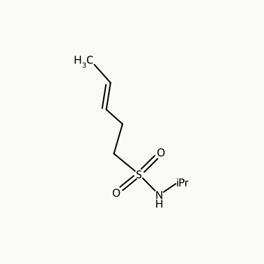 C/C=C/CCS(=O)(=O)NC(C)C